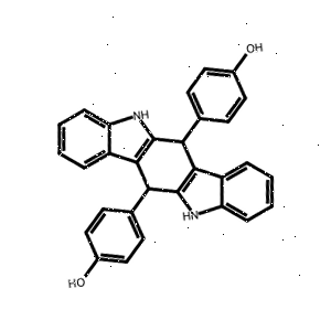 Oc1ccc(C2c3[nH]c4ccccc4c3C(c3ccc(O)cc3)c3[nH]c4ccccc4c32)cc1